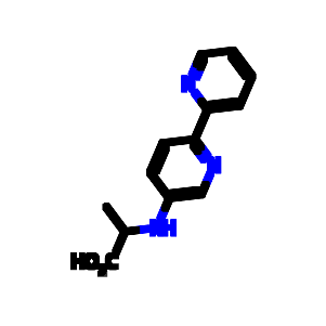 CC(Nc1ccc(-c2ccccn2)nc1)C(=O)O